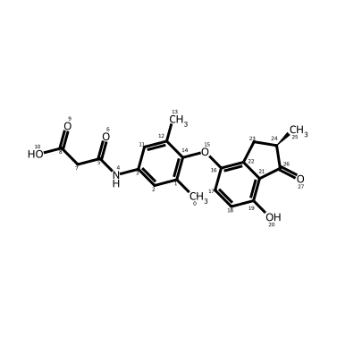 Cc1cc(NC(=O)CC(=O)O)cc(C)c1Oc1ccc(O)c2c1C[C@@H](C)C2=O